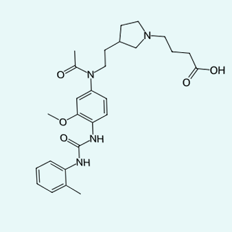 COc1cc(N(CCC2CCN(CCCC(=O)O)C2)C(C)=O)ccc1NC(=O)Nc1ccccc1C